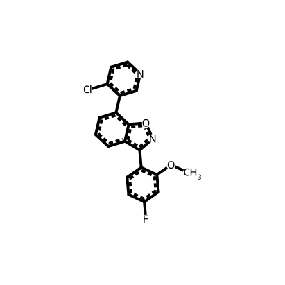 COc1cc(F)ccc1-c1noc2c(-c3cnccc3Cl)cccc12